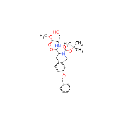 COC(=O)[C@H](CO)NC(=O)C1Cc2ccc(OCc3ccccc3)cc2CN1C(=O)OC(C)(C)C